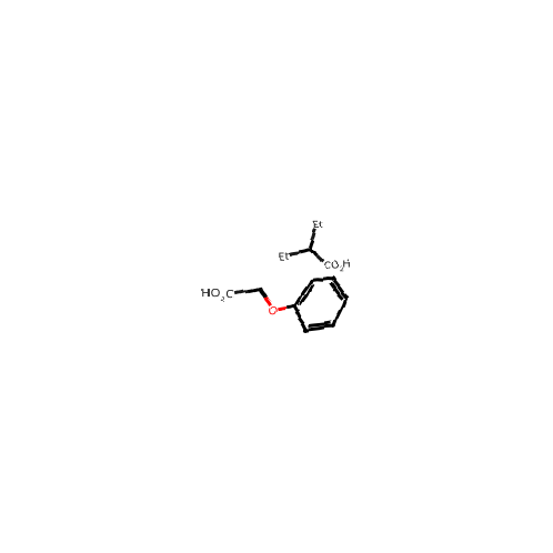 CCC(CC)C(=O)O.O=C(O)COc1ccccc1